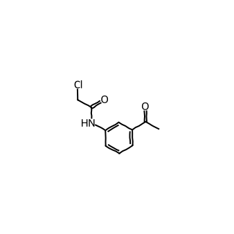 CC(=O)c1cccc(NC(=O)CCl)c1